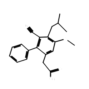 COc1cc(CC(=O)O)c(-c2ccccc2)c(C#N)c1CC(C)C